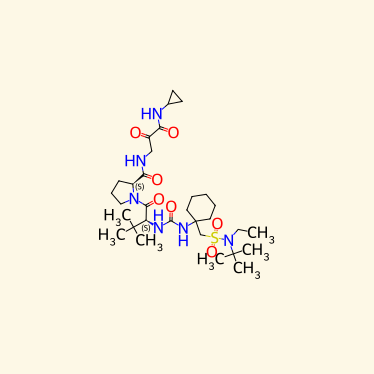 CCN(C(C)(C)C)S(=O)(=O)CC1(NC(=O)N[C@H](C(=O)N2CCC[C@H]2C(=O)NCC(=O)C(=O)NC2CC2)C(C)(C)C)CCCCC1